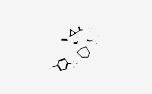 C=C[C@@H]1C[C@]1(NC(=O)[C@@H]1C[C@H](OS(=O)(=O)c2ccc(Br)cc2)CC[C@H]1C(=O)N(C)CCCC)C(=O)OC